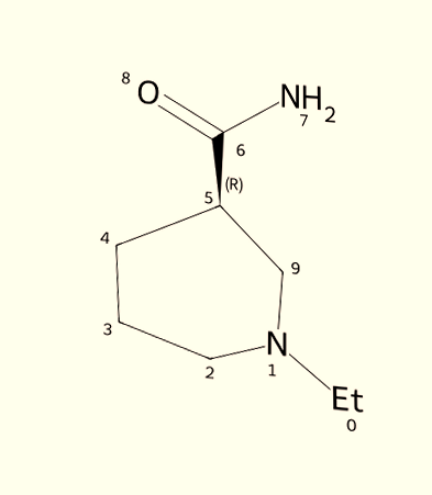 CCN1CCC[C@@H](C(N)=O)C1